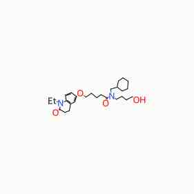 CCN1C(=O)CCc2cc(OCCCCC(=O)N(CCCCO)CC3CCCCC3)ccc21